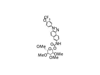 COC[C@@H]1O[C@H](OC(=O)Nc2ccc3c(ccc4c3ncn4-c3ccc(OC(F)(F)F)cc3)c2)[C@@H](OC)[C@H](OC)[C@H]1OC